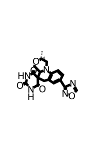 C[C@@H]1CN2c3ccc(-c4ncon4)cc3CC3(C(=O)NC(=O)NC3=O)C2CO1